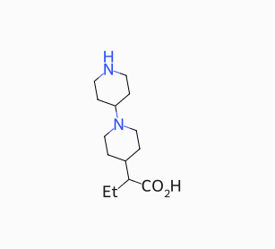 CCC(C(=O)O)C1CCN(C2CCNCC2)CC1